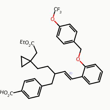 CCOC(=O)CC1(CCC(/C=C/c2ccccc2OCc2ccc(OC(F)(F)F)cc2)Cc2ccc(C(=O)O)cc2)CC1